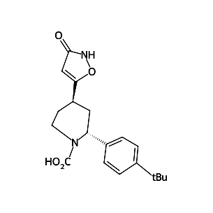 CC(C)(C)c1ccc([C@H]2C[C@H](c3cc(=O)[nH]o3)CCN2C(=O)O)cc1